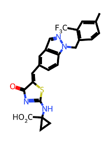 Cc1ccc(Cn2ncc3cc(/C=C4\SC(NC5(C(=O)O)CC5)=NC4=O)ccc32)c(C(F)(F)F)c1